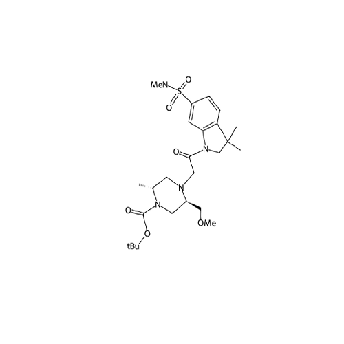 CNS(=O)(=O)c1ccc2c(c1)N(C(=O)CN1C[C@@H](C)N(C(=O)OC(C)(C)C)C[C@@H]1COC)CC2(C)C